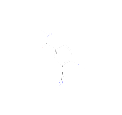 CNC(=O)c1ccc(N)c(C#N)c1